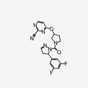 N#Cc1nccc(OC2CCN(C(=O)N3N=CCC3c3cc(F)cc(F)c3)C2)n1